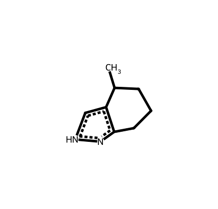 CC1CCCc2n[nH]cc21